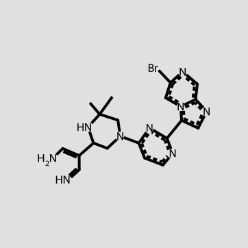 CC1(C)CN(c2ccnc(-c3cnc4cnc(Br)cn34)n2)CC(/C(C=N)=C/N)N1